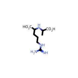 CC(NC(CCCNC(=N)N)C(=O)O)C(=O)O